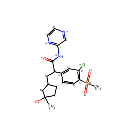 CC1(O)CCC(CC(C(=O)Nc2cnccn2)c2ccc(S(C)(=O)=O)c(Cl)c2)C1